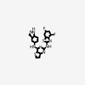 Fc1cc(F)c2nc(Nc3nc(Nc4ccc5[nH]ncc5c4)c4sccc4n3)sc2c1